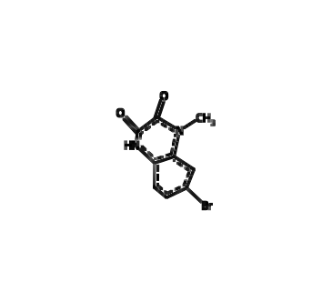 Cn1c(=O)c(=O)[nH]c2ccc(Br)cc21